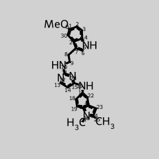 COc1ccc2[nH]cc(CCNc3nccc(Nc4ccc5c(c4)cc(C)n5C)n3)c2c1